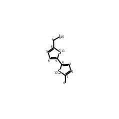 Cc1ccc(-c2ccc(CI)s2)s1